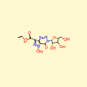 CCOC(=O)c1nn(O)c2c(=O)n(C3OC(CO)C(O)C3O)nnc12